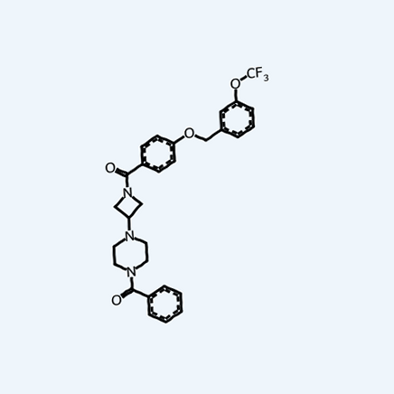 O=C(c1ccccc1)N1CCN(C2CN(C(=O)c3ccc(OCc4cccc(OC(F)(F)F)c4)cc3)C2)CC1